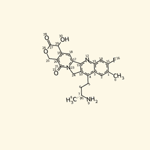 Cc1cc2c(CC[C@@H](C)N)c3c(nc2cc1F)-c1cc2c(c(=O)n1C3)COC(=O)C2O